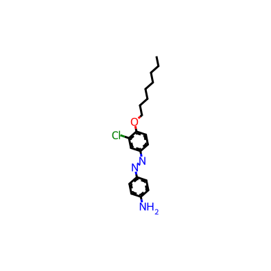 CCCCCCCCOc1ccc(N=Nc2ccc(N)cc2)cc1Cl